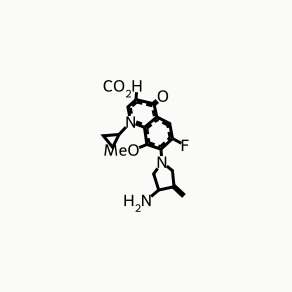 C=C1CN(c2c(F)cc3c(=O)c(C(=O)O)cn(C4CC4)c3c2OC)CC1N